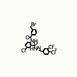 O=C(Nc1ccc(Cl)cc1C(=O)N/N=C/c1ccc(Cl)c(C(F)(F)F)c1)c1cccc(CBr)c1